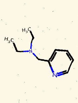 CCN(CC)Cc1ccccn1